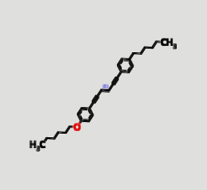 CCCCCCOc1ccc(C#C/C=C/C#Cc2ccc(CCCCCC)cc2)cc1